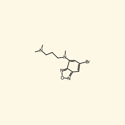 CN(C)CCCN(C)c1cc(Br)cc2nonc12